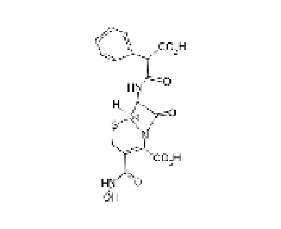 O=C(O)C1=C(C(=O)NO)CS[C@H]2C(NC(=O)C(C(=O)O)c3ccccc3)C(=O)N12